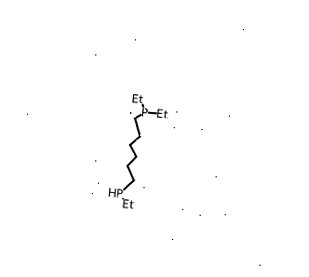 CCPCCCCCCP(CC)CC